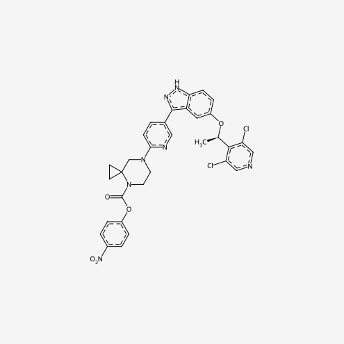 C[C@@H](Oc1ccc2[nH]nc(-c3ccc(N4CCN(C(=O)Oc5ccc([N+](=O)[O-])cc5)C5(CC5)C4)nc3)c2c1)c1c(Cl)cncc1Cl